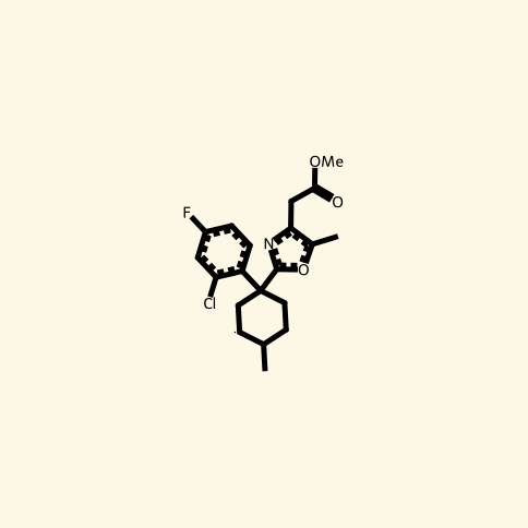 COC(=O)Cc1nc(C2(c3ccc(F)cc3Cl)C[CH]C(C)CC2)oc1C